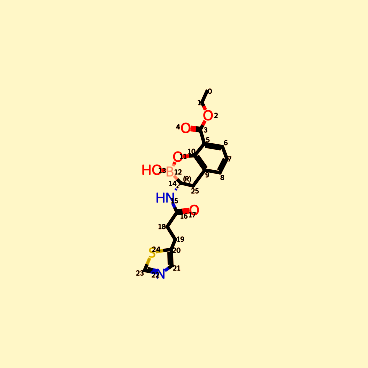 CCOC(=O)c1cccc2c1OB(O)[C@@H](NC(=O)CCc1cncs1)C2